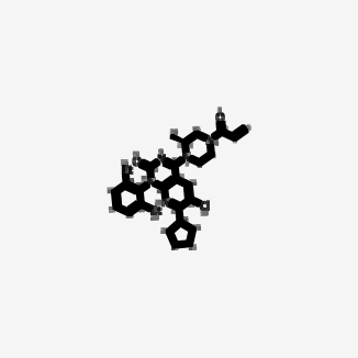 C=CC(=O)N1CCN(c2nc(=O)n(-c3c(CC)cccc3CC)c3nc(C4CCCC4)c(Cl)cc23)[C@@H](C)C1